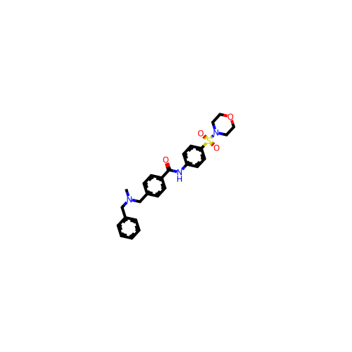 CN(Cc1ccccc1)Cc1ccc(C(=O)Nc2ccc(S(=O)(=O)N3CCOCC3)cc2)cc1